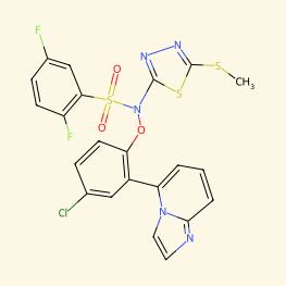 CSc1nnc(N(Oc2ccc(Cl)cc2-c2cccc3nccn23)S(=O)(=O)c2cc(F)ccc2F)s1